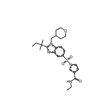 CCNC(=O)c1ccn(S(=O)(=O)c2ccc3c(c2)nc(C(C)(C)CC)n3CC2CCOCC2)c1